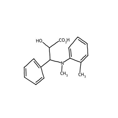 Cc1ccccc1N(C)C(c1ccccc1)C(O)C(=O)O